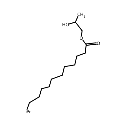 CC(C)CCCCCCCCCCC(=O)OCC(C)O